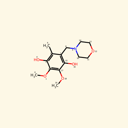 COc1c(O)c(C)c(CN2CCOCC2)c(O)c1OC